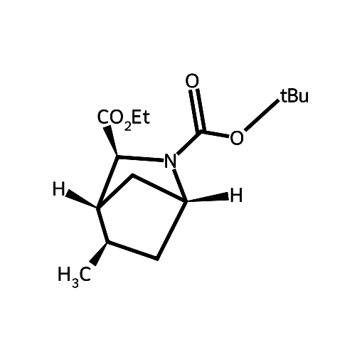 CCOC(=O)[C@@H]1[C@@H]2C[C@@H](C[C@H]2C)N1C(=O)OC(C)(C)C